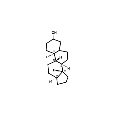 OC1CC[C@H]2C(CC[C@H]3[C@@H]4CCC[C@H]4CC[C@@H]32)C1